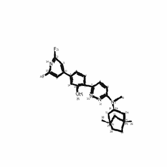 CN(c1ccc(-c2ccc(-c3cc(F)nc(F)c3)cc2O)nn1)[C@H]1C[C@]2(C)CC[C@](C)(C1)C2